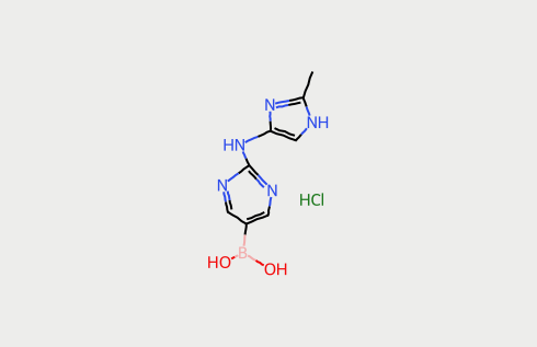 Cc1nc(Nc2ncc(B(O)O)cn2)c[nH]1.Cl